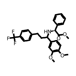 COC(=O)[C@@H](NC(CCc1ccc(C(F)(F)F)cc1)c1ccc(OC)c(OC)c1)c1ccccc1